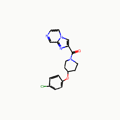 O=C(c1cn2ccncc2n1)N1CCC(Oc2ccc(Cl)cc2)CC1